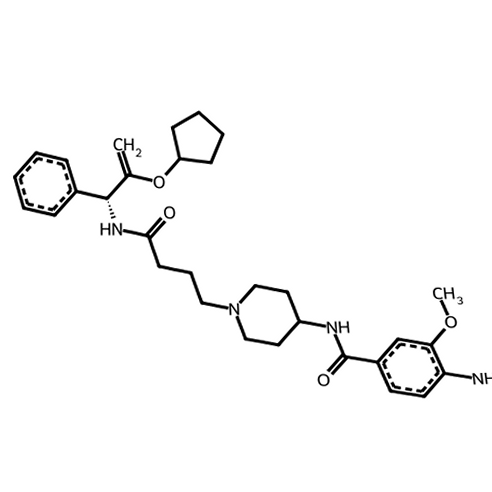 C=C(OC1CCCC1)[C@H](NC(=O)CCCN1CCC(NC(=O)c2ccc(N)c(OC)c2)CC1)c1ccccc1